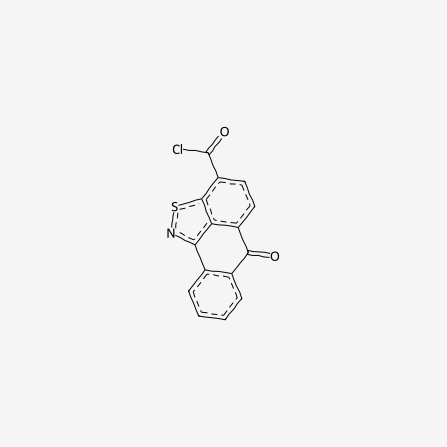 O=C(Cl)c1ccc2c3c(nsc13)-c1ccccc1C2=O